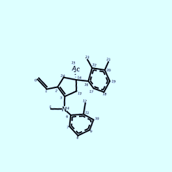 C=CC1=C(N(C)c2ccccc2C)C[C@](C(C)=O)(c2cccc(C)c2C)C1